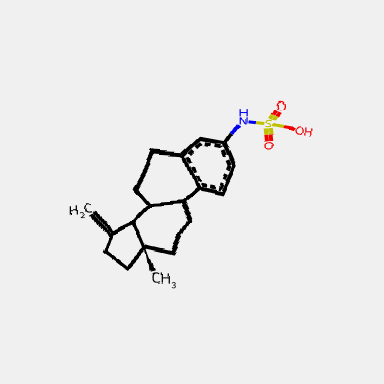 C=C1CC[C@@]2(C)CCC3c4ccc(NS(=O)(=O)O)cc4CCC3C12